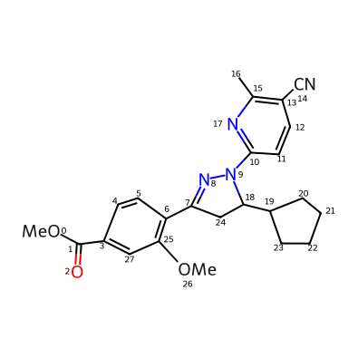 COC(=O)c1ccc(C2=NN(c3ccc(C#N)c(C)n3)C(C3CCCC3)C2)c(OC)c1